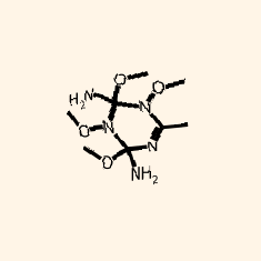 CON1C(C)=NC(N)(OC)N(OC)C1(N)OC